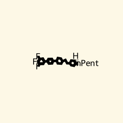 CCCCC[SiH]1CCC(CCC2CCC(c3ccc(-c4cc(F)c(F)c(F)c4)cc3)CC2)CC1